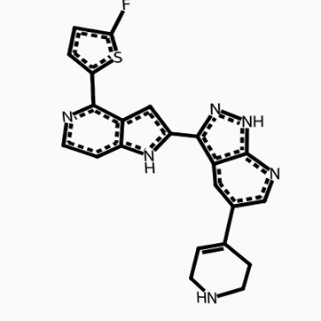 Fc1ccc(-c2nccc3[nH]c(-c4n[nH]c5ncc(C6=CCNCC6)cc45)cc23)s1